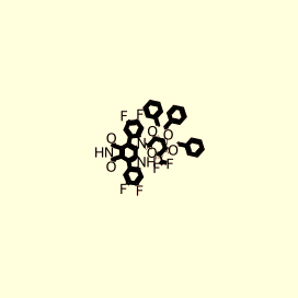 O=C1NC(=O)c2c1c1c3cc(F)c(F)cc3[nH]c1c1c2c2cc(F)c(F)cc2n1[C@@H]1O[C@H](C(F)F)[C@@H](OCc2ccccc2)[C@H](OCc2ccccc2)[C@H]1OCc1ccccc1